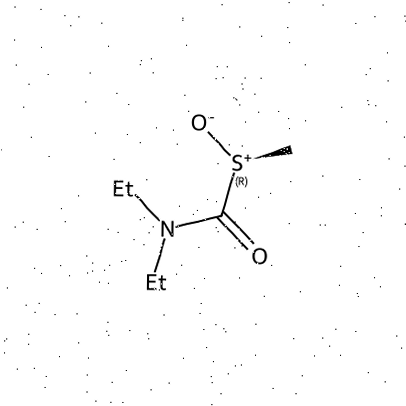 CCN(CC)C(=O)[S@+](C)[O-]